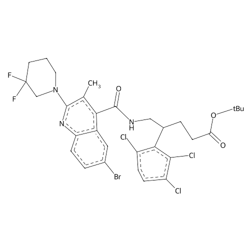 Cc1c(N2CCCC(F)(F)C2)nc2ccc(Br)cc2c1C(=O)NCC(CCC(=O)OC(C)(C)C)c1c(Cl)ccc(Cl)c1Cl